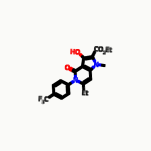 CCOC(=O)c1c(O)c2c(=O)n(-c3ccc(C(F)(F)F)cc3)c(CC)cc2n1C